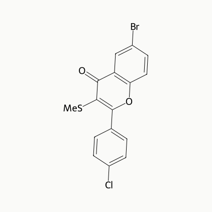 CSc1c(-c2ccc(Cl)cc2)oc2ccc(Br)cc2c1=O